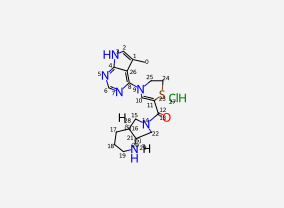 Cc1c[nH]c2ncnc(N3C=C(C(=O)N4C[C@@H]5CCCN[C@@H]5C4)SCC3)c12.Cl